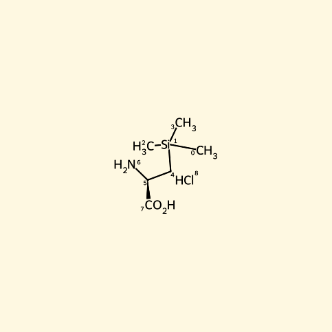 C[Si](C)(C)C[C@H](N)C(=O)O.Cl